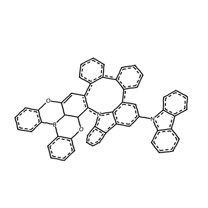 C1=C2Oc3ccccc3B3c4ccccc4OC(c4c1c1ccccc1c1ccccc1c1cc(-n5c6ccccc6c6ccccc65)cc5c6ccccc6n4c15)C32